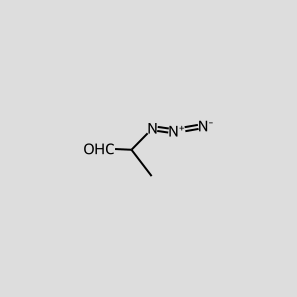 CC(C=O)N=[N+]=[N-]